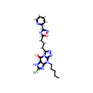 CCCCCn1c2nc(Br)[nH]c2c(=O)n2c(CCCc3nc(-c4ccccn4)no3)nnc12